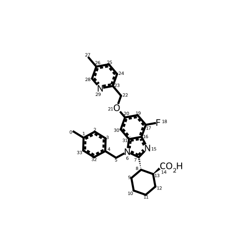 Cc1ccc(Cn2c([C@H]3CCCC[C@@H]3C(=O)O)nc3c(F)cc(OCc4ccc(C)cn4)cc32)cc1